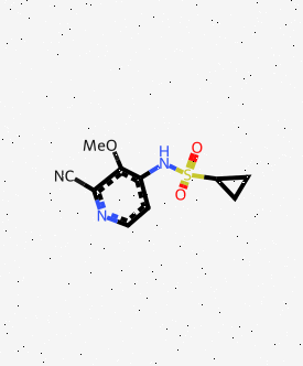 COc1c(NS(=O)(=O)C2CC2)ccnc1C#N